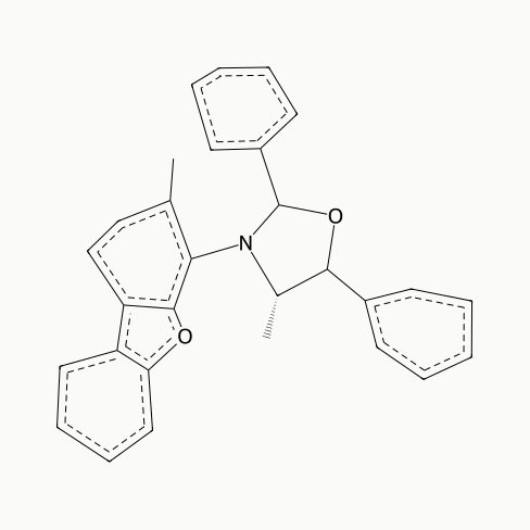 Cc1ccc2c(oc3ccccc32)c1N1C(c2ccccc2)OC(c2ccccc2)[C@@H]1C